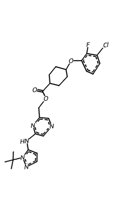 CC(C)(C)n1nccc1Nc1cncc(COC(=O)C2CCC(Oc3cccc(Cl)c3F)CC2)n1